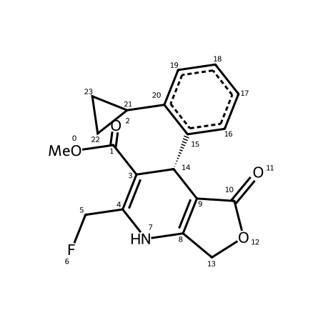 COC(=O)C1=C(CF)NC2=C(C(=O)OC2)[C@H]1c1ccccc1C1CC1